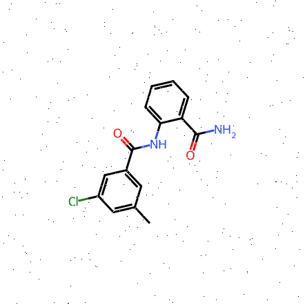 Cc1cc(Cl)cc(C(=O)Nc2ccccc2C(N)=O)c1